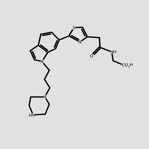 O=C(O)CNC(=O)Cc1csc(-c2ccc3ccn(CCCN4CCNCC4)c3c2)n1